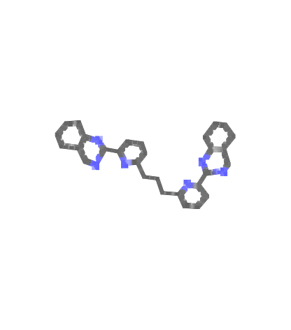 c1cc(CCCc2cccc(-c3ncc4ccccc4n3)n2)nc(-c2ncc3ccccc3n2)c1